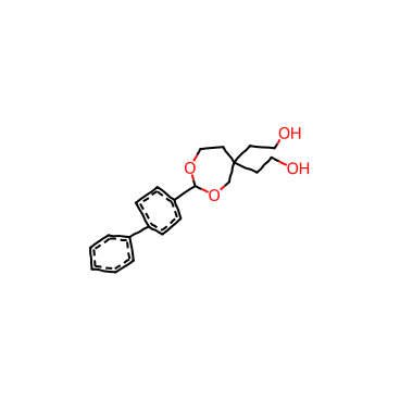 OCCC1(CCO)CCOC(c2ccc(-c3ccccc3)cc2)OC1